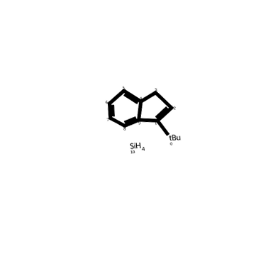 CC(C)(C)C1=CCc2ccccc21.[SiH4]